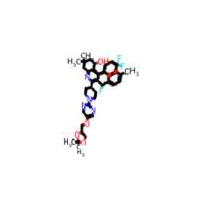 Cc1ccc(C(F)c2c(C3CCN(c4ncc(OCC5COC(C)(C)O5)cn4)CC3)nc3c(c2C2CCC(F)(F)CC2)C(O)CC(C)(C)C3)cc1